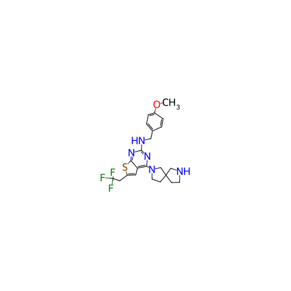 COc1ccc(CNc2nc(N3CCC4(CCNC4)C3)c3cc(CC(F)(F)F)sc3n2)cc1